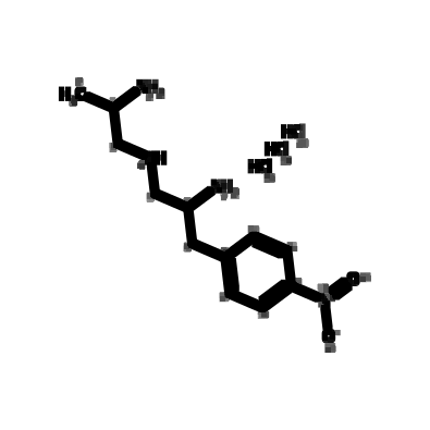 CC(N)CNCC(N)Cc1ccc([N+](=O)[O-])cc1.Cl.Cl.Cl